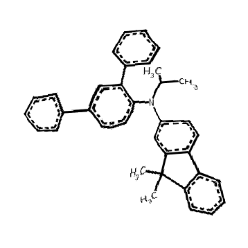 CC(C)N(c1ccc2c(c1)C(C)(C)c1ccccc1-2)c1ccc(-c2ccccc2)cc1-c1ccccc1